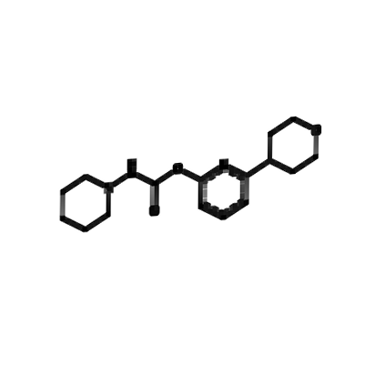 O=C(NN1CCCCC1)Oc1cccc(C2CCOCC2)n1